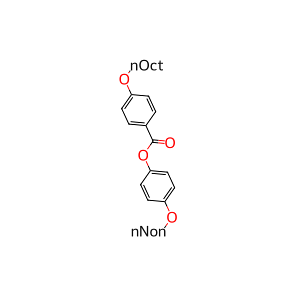 CCCCCCCCCOc1ccc(OC(=O)c2ccc(OCCCCCCCC)cc2)cc1